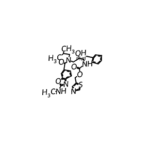 CNc1nc2ccc(C(=O)N(CC(C)C)C[C@@H](O)[C@H](Cc3ccccc3)NC(=O)OCc3cncs3)cc2o1